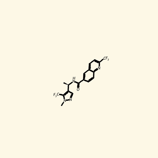 C[C@@H](NC(=O)c1ccc2nc(C(F)(F)F)ccc2c1)c1cnn(C)c1C(F)(F)F